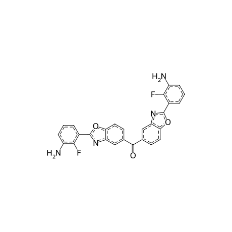 Nc1cccc(-c2nc3cc(C(=O)c4ccc5oc(-c6cccc(N)c6F)nc5c4)ccc3o2)c1F